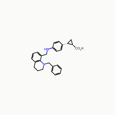 O=C(O)[C@@H]1C[C@H]1c1ccc(NCc2cccc3c2N(Cc2ccccc2)CCC3)cc1